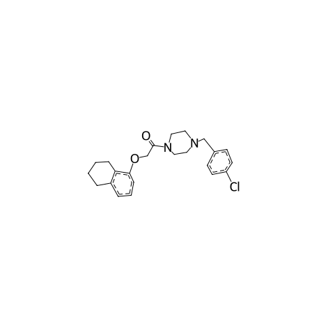 O=C(COc1cccc2c1CCCC2)N1CCN(Cc2ccc(Cl)cc2)CC1